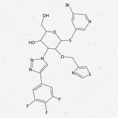 OCC1OC(Sc2cncc(Br)c2)C(OCc2cscn2)C(n2cc(-c3cc(F)c(F)c(F)c3)nn2)C1O